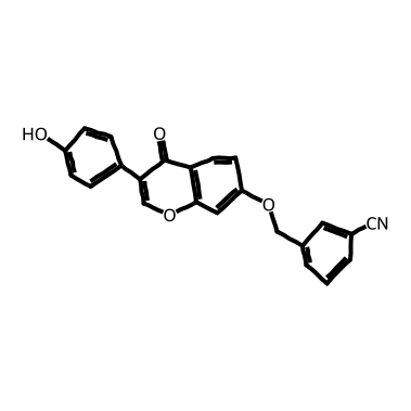 N#Cc1cccc(COc2ccc3c(=O)c(-c4ccc(O)cc4)coc3c2)c1